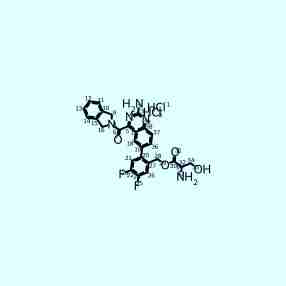 Cl.Cl.Nc1nc(C(=O)N2Cc3ccccc3C2)c2cc(-c3cc(F)c(F)cc3COC(=O)[C@H](N)CO)ccc2n1